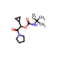 CC(C)(C)NC(=O)OC(C(=O)N1CCCC1)C1CC1